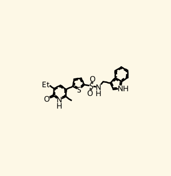 CCc1cc(-c2ccc(S(=O)(=O)NCc3c[nH]c4ccccc34)s2)c(C)[nH]c1=O